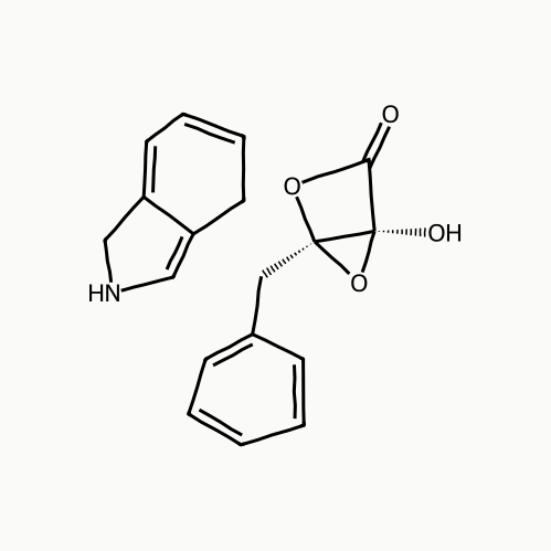 C1=CCC2=CNCC2=C1.O=C1O[C@]2(Cc3ccccc3)O[C@]12O